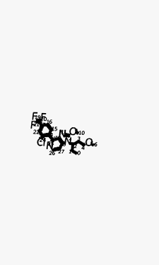 CCC(CCOC)n1c(OC)nc2c(-c3ccc(C(F)(F)F)cc3Cl)nccc21